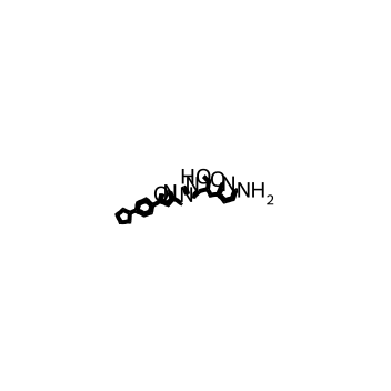 Nc1ccc(CC(C(=O)O)c2cn(Cc3cc(-c4ccc(C5CCCC5)cc4)on3)cn2)cn1